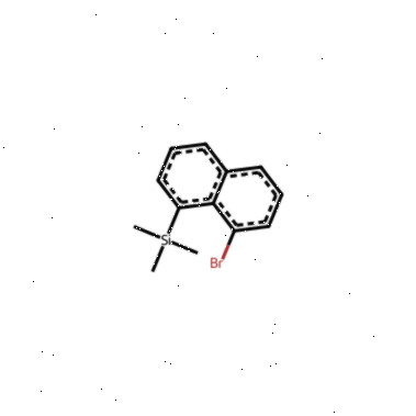 C[Si](C)(C)c1cccc2cccc(Br)c12